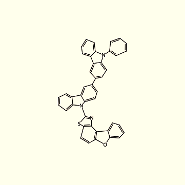 c1ccc(-n2c3ccccc3c3cc(-c4ccc5c(c4)c4ccccc4n5-c4nc5c(ccc6oc7ccccc7c65)s4)ccc32)cc1